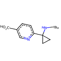 CC(C)(C)NC1(c2ccc(C(=O)O)cn2)CC1